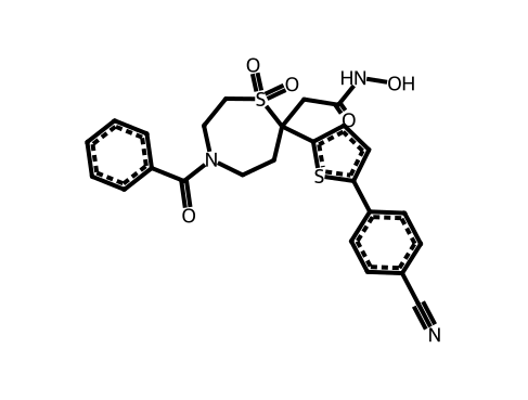 N#Cc1ccc(-c2ccc(C3(CC(=O)NO)CCN(C(=O)c4ccccc4)CCS3(=O)=O)s2)cc1